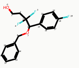 OCCC(F)(F)C(OCc1ccccc1)c1ccc(F)cc1